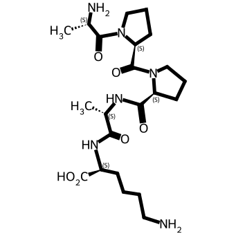 C[C@H](N)C(=O)N1CCC[C@H]1C(=O)N1CCC[C@H]1C(=O)N[C@@H](C)C(=O)N[C@@H](CCCCN)C(=O)O